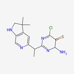 CC(C1=NC(N)C(=S)C(Cl)=N1)c1cc2c(cn1)NCC2(C)C